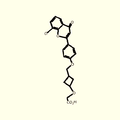 O=C(O)COC1CC(COc2ccc(-c3cc(=O)c4cccc(Cl)c4o3)cc2)C1